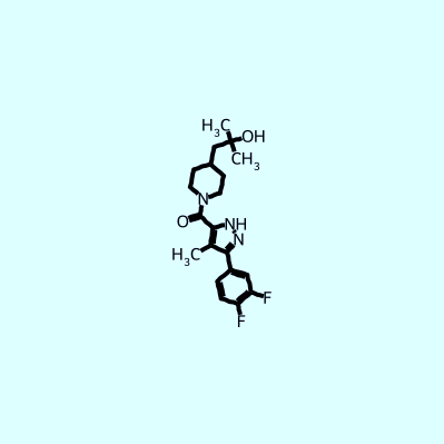 Cc1c(-c2ccc(F)c(F)c2)n[nH]c1C(=O)N1CCC(CC(C)(C)O)CC1